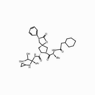 CCC[C@@](NC(=O)[C@@H]1C[C@]2(CN(c3ccccc3)C(=O)O2)CN1C(=O)[C@@H](NC(=O)CC1CCCCC1)C(C)(C)C)(NC1CC1)C(O)C=O